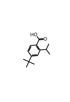 CC(C)c1cc(C(C)(C)C)ccc1C(=O)O